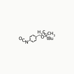 CC(C)(C)[Si](C)(C)OCc1ccc(N=C=O)cc1